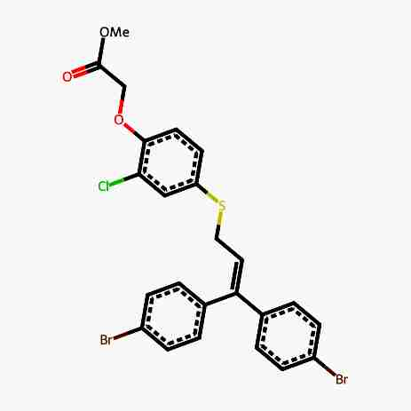 COC(=O)COc1ccc(SCC=C(c2ccc(Br)cc2)c2ccc(Br)cc2)cc1Cl